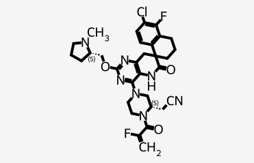 C=C(F)C(=O)N1CCN(c2nc(OC[C@@H]3CCCN3C)nc3c2NC(=O)C2(CCCc4c2ccc(Cl)c4F)C3)C[C@@H]1CC#N